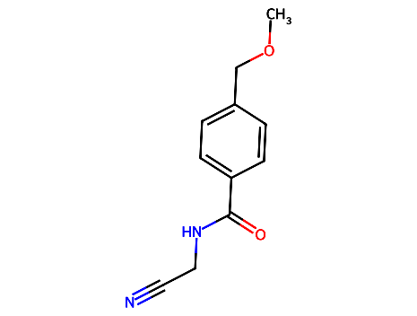 COCc1ccc(C(=O)NCC#N)cc1